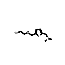 CN(C)Cc1ccc(CSCCO)o1